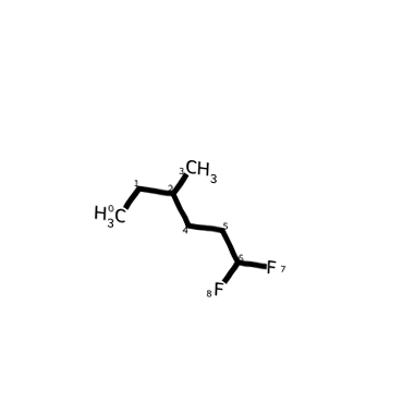 CCC(C)CCC(F)F